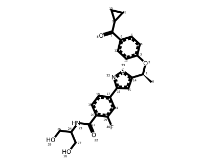 C[C@H](Oc1ccc(C(=O)C2CC2)cc1)c1cc(-c2ccc(C(=O)NC(CO)CO)c(F)c2)ns1